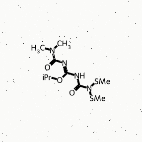 CSN(SC)C(=O)NC(=NC(=O)N(C)C)OC(C)C